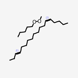 CC/C=C/CCCCCCCC/C=C\CCCC.CCCCCOOC